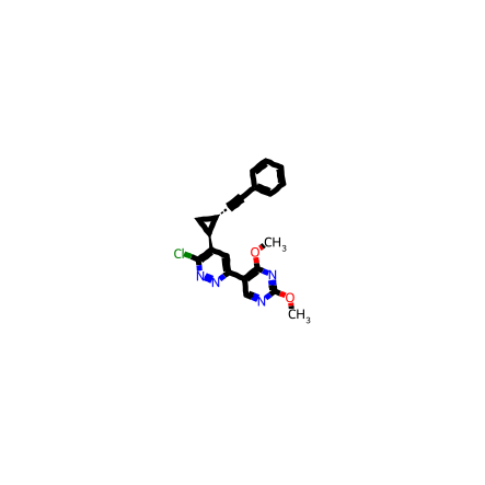 COc1ncc(-c2cc([C@H]3C[C@@H]3C#Cc3ccccc3)c(Cl)nn2)c(OC)n1